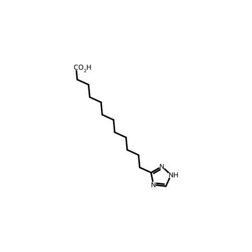 O=C(O)CCCCCCCCCCCc1nc[nH]n1